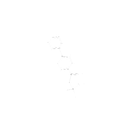 CCOC(=O)C(CC(=O)c1ccc(-c2ccccc2)cc1)(NC(C)=O)C(=O)OCC